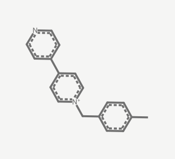 Cc1ccc(C[n+]2ccc(-c3ccncc3)cc2)cc1